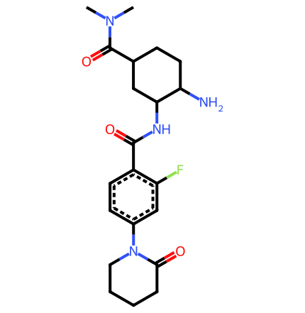 CN(C)C(=O)C1CCC(N)C(NC(=O)c2ccc(N3CCCCC3=O)cc2F)C1